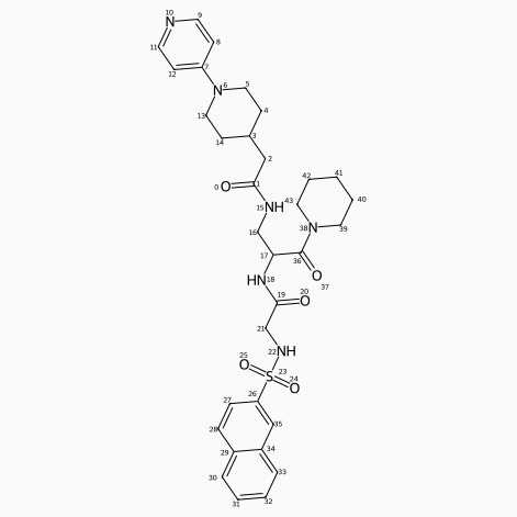 O=C(CC1CCN(c2ccncc2)CC1)NCC(NC(=O)CNS(=O)(=O)c1ccc2ccccc2c1)C(=O)N1CCCCC1